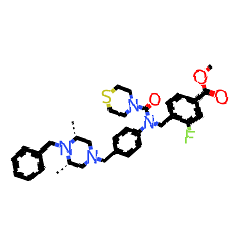 COC(=O)c1ccc(CN(C(=O)N2CCSCC2)c2ccc(CN3C[C@@H](C)N(Cc4ccccc4)[C@@H](C)C3)cc2)c(F)c1